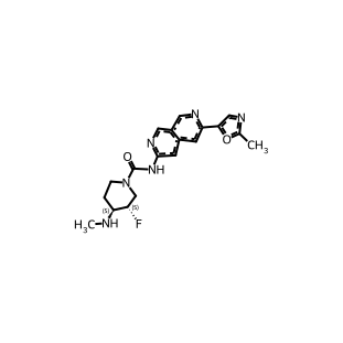 CN[C@H]1CCN(C(=O)Nc2cc3cc(-c4cnc(C)o4)ncc3cn2)C[C@@H]1F